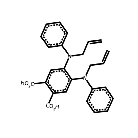 C=CCN(c1ccccc1)c1cc(C(=O)O)c(C(=O)O)cc1N(CC=C)c1ccccc1